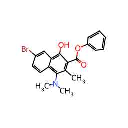 Cc1c(C(=O)Oc2ccccc2)c(O)c2cc(Br)ccc2c1N(C)C